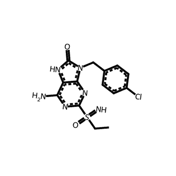 CCS(=N)(=O)c1nc(N)c2[nH]c(=O)n(Cc3ccc(Cl)cc3)c2n1